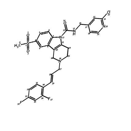 CS(=O)(=O)c1ccc2c(c1)c1c(n2C(=O)NCc2ccnc(Cl)c2)CCN(CC=Cc2ccc(F)cc2F)C1